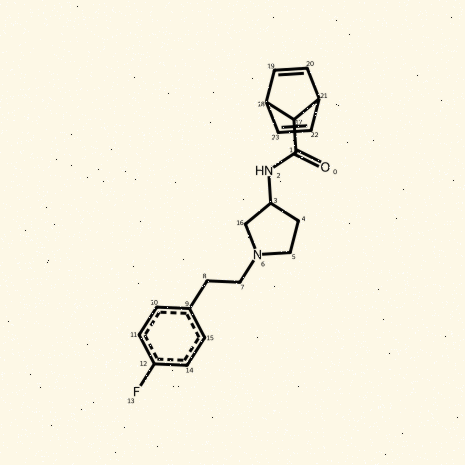 O=C(NC1CCN(CCc2ccc(F)cc2)C1)C1C2C=CC1C=C2